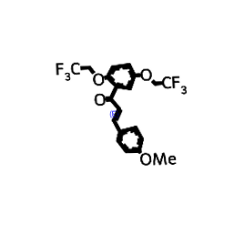 COc1ccc(/C=C/C(=O)c2cc(OCC(F)(F)F)ccc2OCC(F)(F)F)cc1